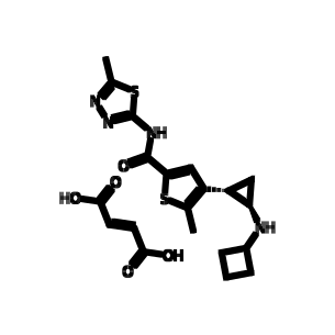 Cc1nnc(NC(=O)c2cc([C@@H]3C[C@H]3NC3CCC3)c(C)s2)s1.O=C(O)C=CC(=O)O